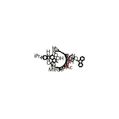 CO[C@H]1/C=C/O[C@@]2(C)Oc3c(C)c(O)c4c(c3C2=O)C2=NC3(CCN(CC(C)C)CC3)NC2=C(NC(=O)/C(C)=C\C=C\[C@H](C)[C@H](OC(=O)CN(C)C(=O)OCC2c3ccccc3-c3ccccc32)[C@@H](C)[C@@H](O)[C@@H](C)[C@H](OC(C)=O)[C@@H]1C)C4=O